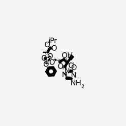 C#CC1(Cl)[C@@H](O)[C@@H](COP(=O)(Oc2ccccc2)O[C@@H](C)C(=O)OC(C)C)O[C@H]1n1ncc(N)nc1=O